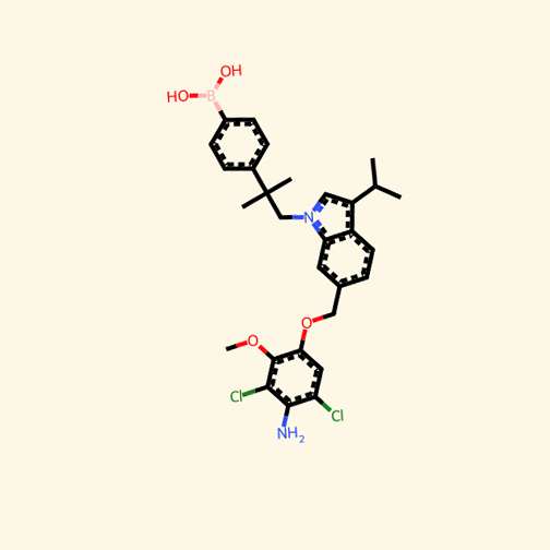 COc1c(OCc2ccc3c(C(C)C)cn(CC(C)(C)c4ccc(B(O)O)cc4)c3c2)cc(Cl)c(N)c1Cl